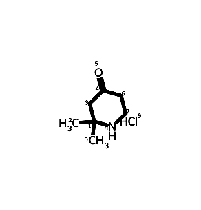 CC1(C)CC(=O)CCN1.Cl